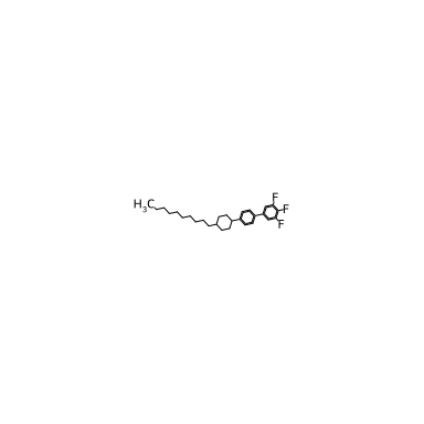 CCCCCCCCCCC1CCC(c2ccc(-c3cc(F)c(F)c(F)c3)cc2)CC1